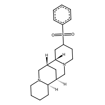 O=S(=O)(c1ccccc1)C1CCN2C[C@@H]3C[C@H](CN4CCCC[C@H]34)[C@@H]2C1